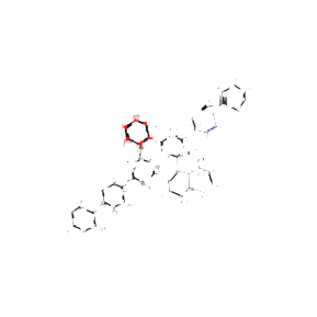 C#C/C=C(\C=C/Cc1ccccc1)c1nc(C2=C(c3nc(-c4ccccc4)nc(-c4ccc(-c5ccccc5)cc4)n3)C=CC3CC=CC(C)C23)nc(-c2ccccc2)n1